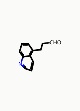 O=CCCc1cccc2ncccc12